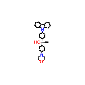 C#CC(O)(c1ccc(N2CCOCC2)cc1)c1ccc(-n2c3ccccc3c3ccccc32)cc1